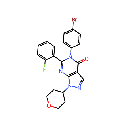 O=c1c2cnn(C3CCOCC3)c2nc(-c2ccccc2F)n1-c1ccc(Br)cc1